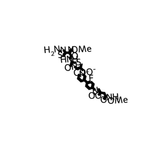 CO/N=C(\C(=O)N[C@@H]1C(=O)N2C(C(=O)[O-])=C(C[n+]3cccc(-c4ccc(-n5cc(CC(=O)NOC)oc5=O)cc4F)c3)CS[C@@H]12)c1csc(N)n1